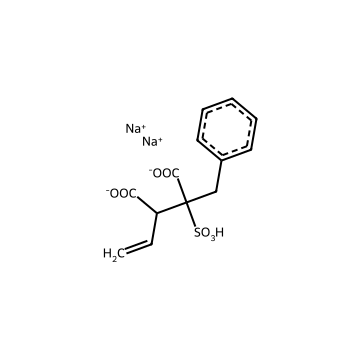 C=CC(C(=O)[O-])C(Cc1ccccc1)(C(=O)[O-])S(=O)(=O)O.[Na+].[Na+]